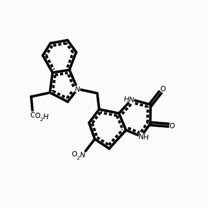 O=C(O)Cc1cn(Cc2cc([N+](=O)[O-])cc3[nH]c(=O)c(=O)[nH]c23)c2ccccc12